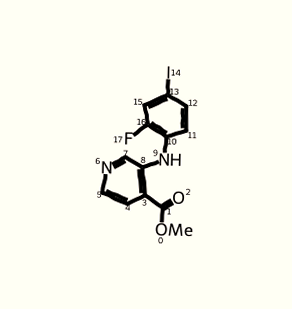 COC(=O)c1ccncc1Nc1ccc(I)cc1F